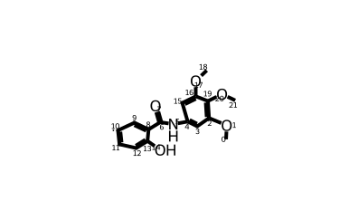 COc1cc(NC(=O)c2c[c]ccc2O)cc(OC)c1OC